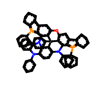 O=[N+]([O-])c1ccc([Si]23c4c5ccc6c4N(c4ccccc4N6c4ccccc4)c4c2c(cc2c6ccccc6p(-c6ccccc6)c42)Oc2cc4c6ccccc6p(-c6ccccc6)c4c(c23)N5c2ccccc2)cc1